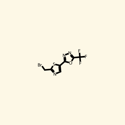 FC(F)(F)c1nnc(-c2cnc(CBr)s2)o1